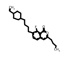 C=CC1CCC(CCCCc2ccc3cc(CCCC)oc(=O)c3c2F)CC1